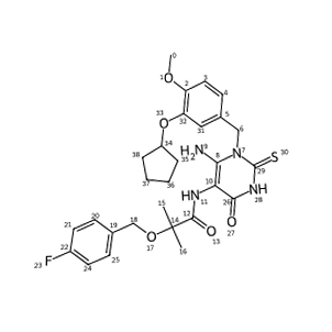 COc1ccc(Cn2c(N)c(NC(=O)C(C)(C)OCc3ccc(F)cc3)c(=O)[nH]c2=S)cc1OC1CCCC1